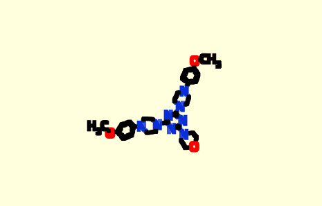 COc1ccc(N2CCN(c3nc(N4CCOCC4)nc(N4CCN(c5ccc(OC)cc5)CC4)n3)CC2)cc1